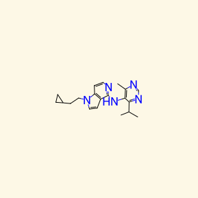 Cc1ncnc(C(C)C)c1Nc1nccc2c1ccn2CCC1CC1